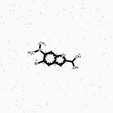 CN(C)c1cc2oc(C(O)O)cc2cc1Br